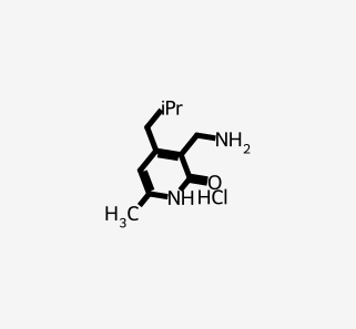 Cc1cc(CC(C)C)c(CN)c(=O)[nH]1.Cl